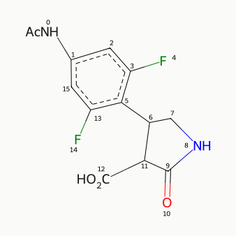 CC(=O)Nc1cc(F)c(C2CNC(=O)C2C(=O)O)c(F)c1